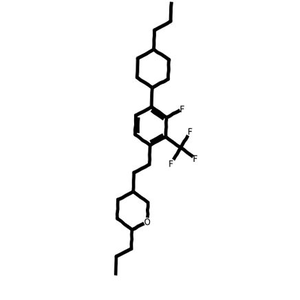 CCCC1CCC(c2ccc(CCC3CCC(CCC)OC3)c(C(F)(F)F)c2F)CC1